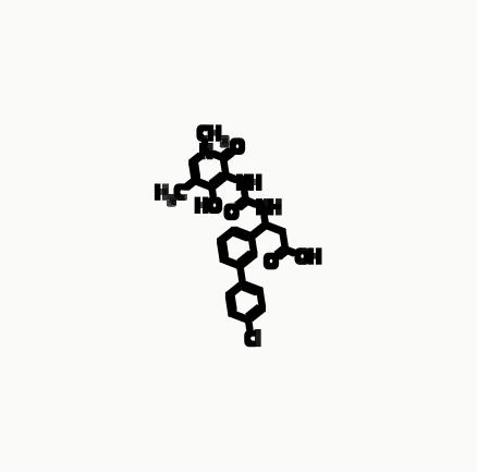 Cc1cn(C)c(=O)c(NC(=O)NC(CC(=O)O)c2cccc(-c3ccc(Cl)cc3)c2)c1O